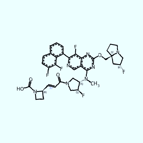 CN(c1nc(OC[C@@]23CCCN2C[C@H](F)C3)nc2c(F)c(-c3cccc4ccc(F)c(F)c34)ncc12)[C@H]1CN(C(=O)/C=C/[C@H]2CCN2C(=O)O)C[C@@H]1F